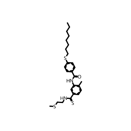 CCCCCCCCSc1ccc(C(=O)Nc2cc(C(=S)NCCSC)ccc2C)cc1